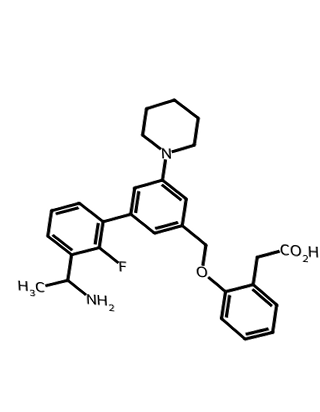 CC(N)c1cccc(-c2cc(COc3ccccc3CC(=O)O)cc(N3CCCCC3)c2)c1F